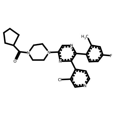 Cc1cc(F)ccc1-c1ncc(N2CCN(C(=O)C3CCCC3)CC2)nc1-c1ccncc1Cl